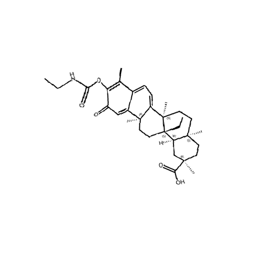 CCNC(=O)OC1=C(C)C2=CC=C3[C@@](C)(CC[C@@]4(CC)[C@@H]5C[C@](C)(C(=O)O)CC[C@]5(C)CC[C@]34C)C2=CC1=O